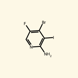 Nc1ncc(F)c(Br)c1I